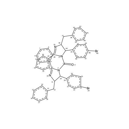 O=C(N1C(c2ccccc2)=NC(Cc2ccccc2)C1c1ccc(Br)cc1)N1C(c2ccccc2)=NC(Cc2ccccc2)C1c1ccc(Br)cc1